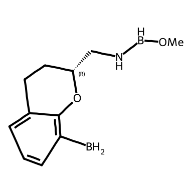 Bc1cccc2c1O[C@@H](CNBOC)CC2